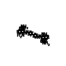 Nc1c(/N=N/c2ccc(-c3ccc(/N=N/c4cc(S(N)(=O)=O)c5ccccc5c4N)cc3)cc2)cc(S(N)(=O)=O)c2ccccc12